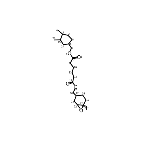 CC1CCC(COC(=O)CCCCC(=O)OCC2CC[C@H]3OC3C2)CC1C